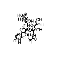 O=C(NCC(O)C(O)C(O)C(O)CO)C(F)(F)F.O=c1ccn([C@@H]2O[C@H](COP(=O)(O)OP(=O)(O)O)[C@@H](O)[C@H]2O)c(=O)[nH]1